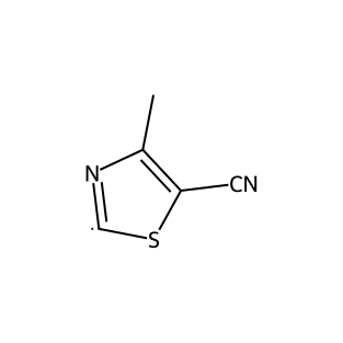 Cc1n[c]sc1C#N